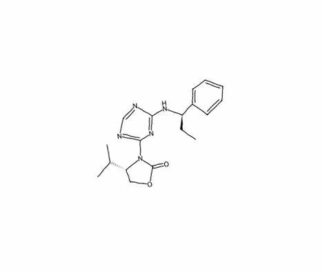 CC[C@@H](Nc1ncnc(N2C(=O)OC[C@@H]2C(C)C)n1)c1ccccc1